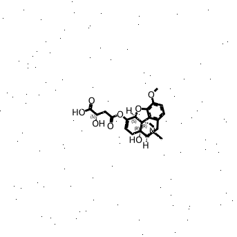 COc1ccc2c3c1O[C@@H]1C(OC(=O)C[C@H](O)C(=O)O)=CC[C@]4(O)[C@H](C2)N(C)CC[C@@]314